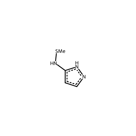 CSNc1ccn[nH]1